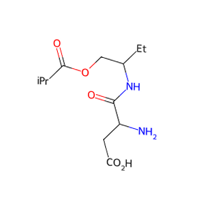 CCC(COC(=O)C(C)C)NC(=O)C(N)CC(=O)O